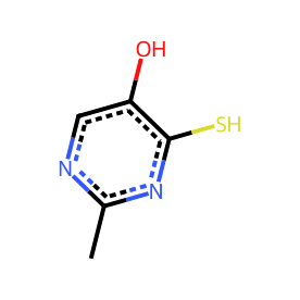 Cc1ncc(O)c(S)n1